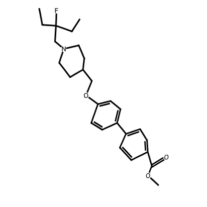 CCC(F)(CC)CN1CCC(COc2ccc(-c3ccc(C(=O)OC)cc3)cc2)CC1